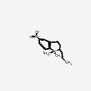 CCCC1CCc2cc([N+](=O)[O-])ccc2[N+]1(C)C